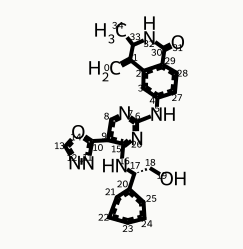 C=C1c2cc(Nc3ncc(-c4nnco4)c(N[C@H](CO)c4ccccc4)n3)ccc2C(=O)NC1C